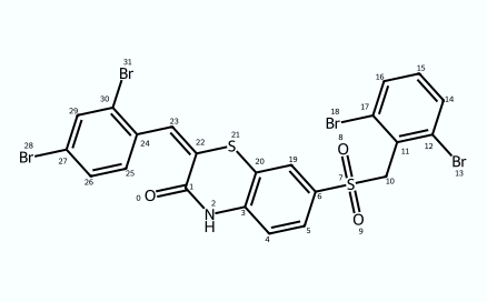 O=C1Nc2ccc(S(=O)(=O)Cc3c(Br)cccc3Br)cc2S/C1=C/c1ccc(Br)cc1Br